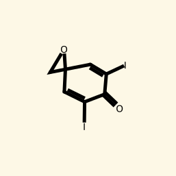 O=C1C(I)=CC2(C=C1I)CO2